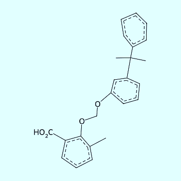 Cc1cccc(C(=O)O)c1OCOc1cccc(C(C)(C)c2ccccc2)c1